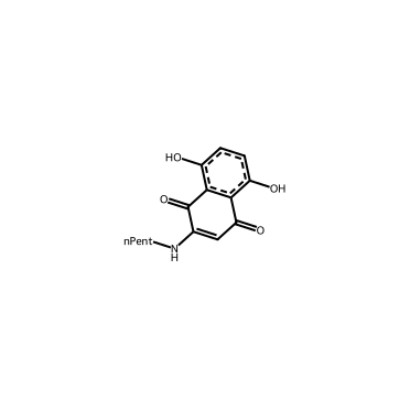 CCCCCNC1=CC(=O)c2c(O)ccc(O)c2C1=O